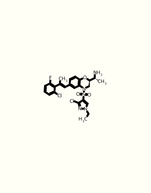 CCn1cc(S(=O)(=O)N2C[C@H]([C@@H](C)N)Oc3ccc(/C=C(\C)c4c(F)cccc4Cl)cc32)c(Cl)n1